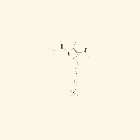 COC(=O)c1nn(CCOCCC(F)(F)F)c(C(N)=O)c1N